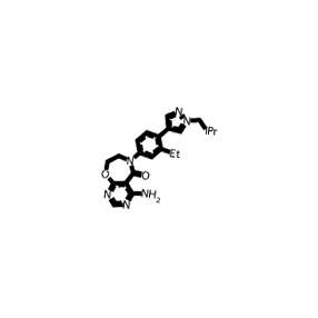 CCc1cc(N2CCOc3ncnc(N)c3C2=O)ccc1-c1cnn(CC(C)C)c1